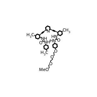 COCCOCCOCCOc1ccc(NC(=O)Nc2ccc(C)cc2C#Cc2cccc(C#Cc3cc(C)ccc3NC(=O)Nc3ccc(C)cc3)n2)cc1